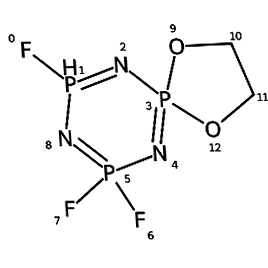 F[PH]1=NP2(=NP(F)(F)=N1)OCCO2